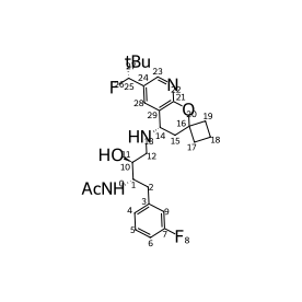 CC(=O)N[C@@H](Cc1cccc(F)c1)[C@@H](O)CN[C@H]1CC2(CCC2)Oc2ncc([C@H](F)C(C)(C)C)cc21